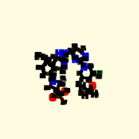 [2H]C([2H])([2H])O[C@@H]1CCN(c2nccc(Nc3cc4c(C(C)C)ccc(N5C[C@H](S(C)(=O)=O)[C@H]5C)c4cn3)n2)C[C@@H]1F